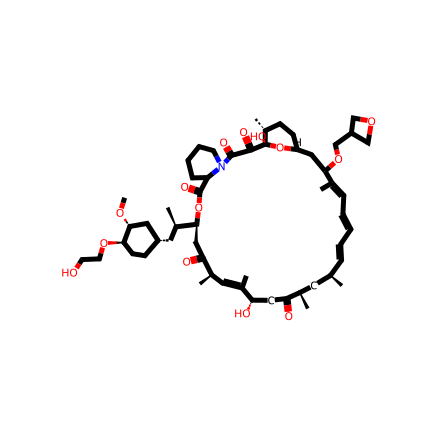 CO[C@@H]1C[C@H](C[C@@H](C)[C@@H]2CC(=O)[C@H](C)/C=C(\C)[C@@H](O)CC(=O)[C@H](C)C[C@H](C)/C=C/C=C/C=C(\C)C(OCC3COC3)C[C@@H]3CC[C@@H](C)[C@@](O)(O3)C(=O)C(=O)N3CCCCC3C(=O)O2)CC[C@H]1OCCO